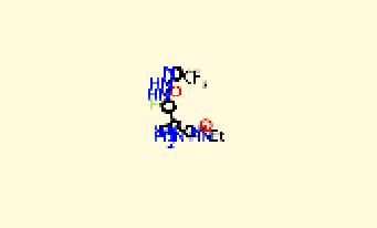 CCNC(=O)N1CCC(N)(c2cc(-c3ccc(NC(=O)Nc4cc(C(F)(F)F)ccn4)c(F)c3)c3cncnn23)CC1